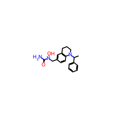 CC(c1ccccc1)N1CCCc2cc(CN(O)C(N)=O)ccc21